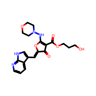 O=C(OCCCO)C1=C(NN2CCOCC2)O/C(=C\c2c[nH]c3ncccc23)C1=O